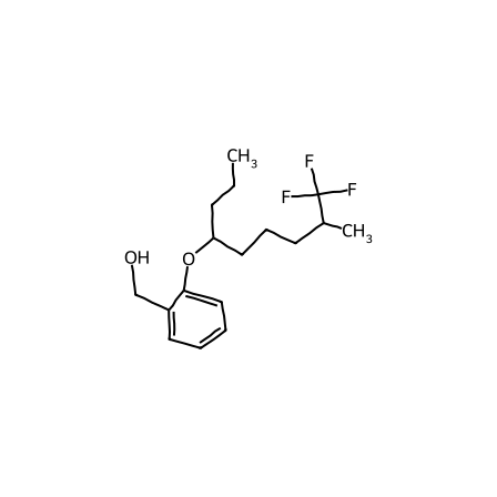 CCCC(CCCC(C)C(F)(F)F)Oc1ccccc1CO